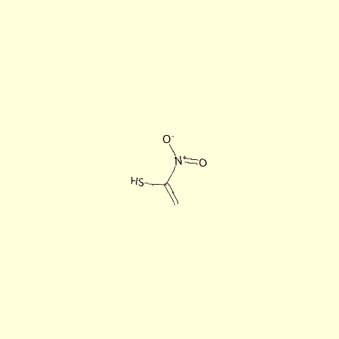 C=C(S)[N+](=O)[O-]